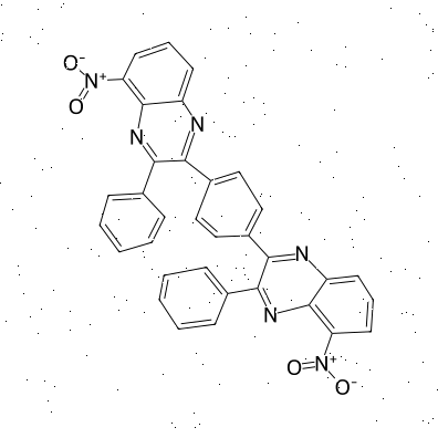 O=[N+]([O-])c1cccc2nc(-c3ccc(-c4nc5cccc([N+](=O)[O-])c5nc4-c4ccccc4)cc3)c(-c3ccccc3)nc12